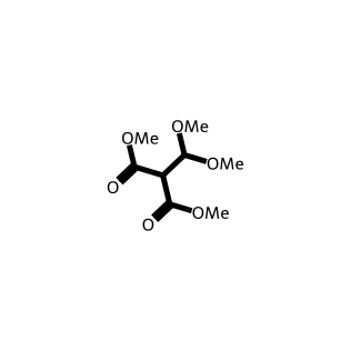 COC(=O)C(C(=O)OC)C(OC)OC